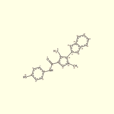 Cc1c(C(=O)Nc2ccc(S)cc2)cn(C)c1-c1cc2ccccc2s1